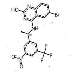 C[C@@H](Nc1nc(O)nc2ccc(Br)cc12)c1cc([N+](=O)[O-])cc(C(F)(F)F)c1